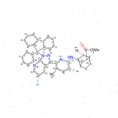 COC(=O)[C@H]1C2CCC(CC2)C1Nc1nc(-c2nn(C(c3ccccc3)(c3ccccc3)c3ccccc3)c3ncc(F)cc23)c(C#N)cc1F